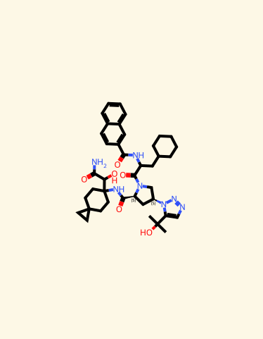 CC(C)(O)c1cnnn1[C@H]1C[C@@H](C(=O)NC2(C(O)C(N)=O)CCC3(CC3)CC2)N(C(=O)C(CC2CCCCC2)NC(=O)c2ccc3ccccc3c2)C1